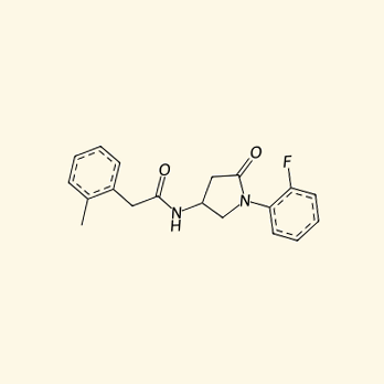 Cc1ccccc1CC(=O)NC1CC(=O)N(c2ccccc2F)C1